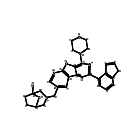 C1=Cc2c(cccc2-c2nc(N3CCOCC3)c3oc4ncc(CN5CC6CC[C@H](C5)O6)cc4c3n2)C1